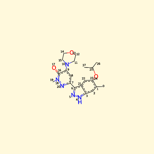 Cc1cc2[nH]nc(-c3cc(N4CCOCC4)c(=O)n(C)n3)c2cc1OC(C)C